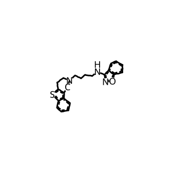 c1ccc2c(NCCCCN3CCc4sc5ccccc5c4C3)noc2c1